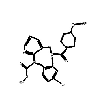 CC(C)OC1CCC(C(=O)N2Cc3cccnc3N(C(=O)OC(C)(C)C)c3ccc(Br)cc32)CC1